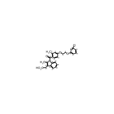 Cc1cc(OCCOc2cccc(Cl)n2)ccc1C(=O)n1c(C)c(CC(=O)O)c2ccccc21